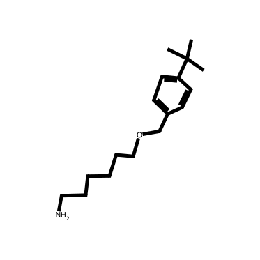 CC(C)(C)c1ccc(COCCCCCCN)cc1